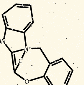 c1ccc2c(c1)C[N+]13CC(=C1Nc1ccccc13)O2